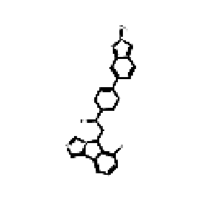 Cn1cc2ccc(C3=CCC(C(O)CC4c5c(F)cccc5-c5cncn54)CC3)cc2n1